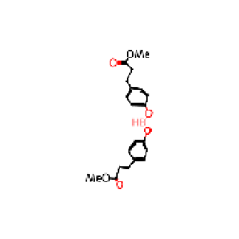 COC(=O)CCc1ccc(OBOc2ccc(CCC(=O)OC)cc2)cc1